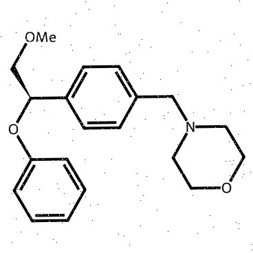 COC[C@H](Oc1ccccc1)c1ccc(CN2CCOCC2)cc1